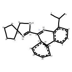 CC(C)c1cccc(C(C)C)c1/N=C(/C1=NC2(CCCC2)CO1)c1ccccc1